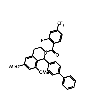 COc1cc2c(c(OC)c1)C(c1ccc(-c3ccccc3)cc1)N(C(=O)c1ccc(C(F)(F)F)cc1F)CC2